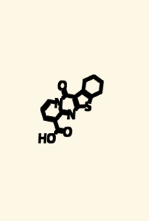 O=C(O)c1cccn2c(=O)c3c4c(sc3nc12)CCCC4